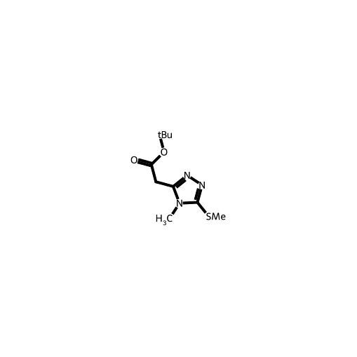 CSc1nnc(CC(=O)OC(C)(C)C)n1C